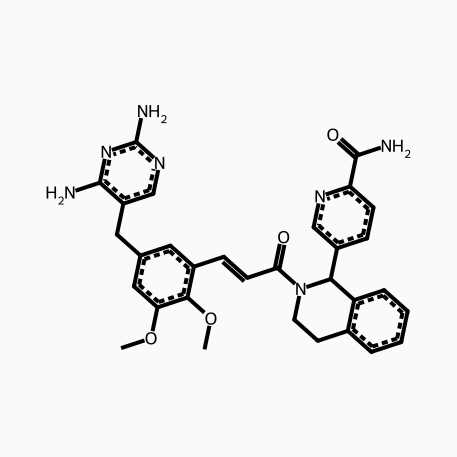 COc1cc(Cc2cnc(N)nc2N)cc(C=CC(=O)N2CCc3ccccc3C2c2ccc(C(N)=O)nc2)c1OC